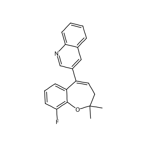 CC1(C)CC=C(c2cnc3ccccc3c2)c2cccc(F)c2O1